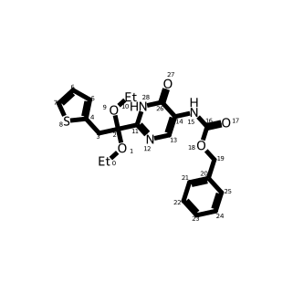 CCOC(Cc1cccs1)(OCC)c1ncc(NC(=O)OCc2ccccc2)c(=O)[nH]1